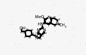 COc1nc2c(cc1Nc1ncc3cnn(C4CCC(CO)CC4)c3n1)CN(C)CC2